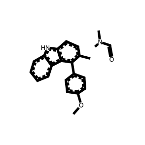 CN(C)C=O.COc1ccc(-c2c(C)ccc3[nH]c4ccccc4c23)cc1